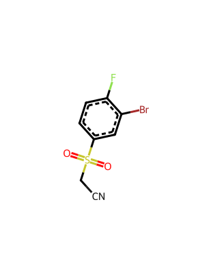 N#CCS(=O)(=O)c1ccc(F)c(Br)c1